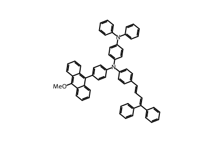 COc1c2ccccc2c(-c2ccc(N(c3ccc(C=CC=C(c4ccccc4)c4ccccc4)cc3)c3ccc(N(c4ccccc4)c4ccccc4)cc3)cc2)c2ccccc12